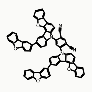 N#Cc1cc(C#N)c(-n2c3ccc(-c4ccc5oc6ccccc6c5c4)cc3c3c4oc5ccccc5c4ccc32)cc1-n1c2ccc(-c3ccc4oc5ccccc5c4c3)cc2c2c3oc4ccccc4c3ccc21